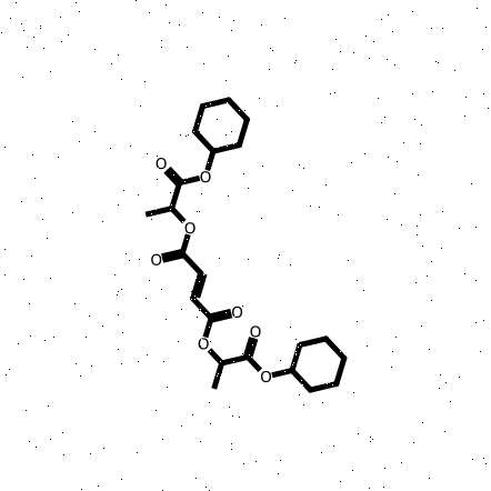 CC(OC(=O)/C=C/C(=O)OC(C)C(=O)OC1CCCCC1)C(=O)OC1CCCCC1